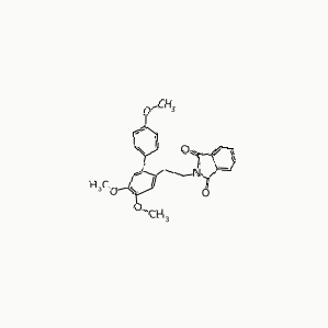 COc1ccc(-c2cc(OC)c(OC)cc2CCN2C(=O)c3ccccc3C2=O)cc1